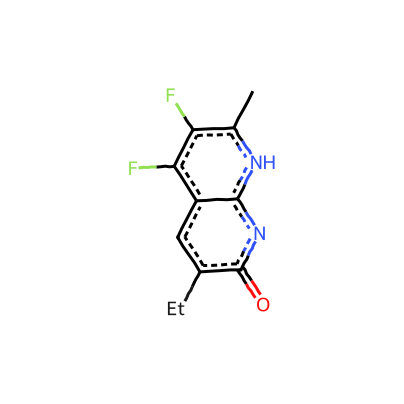 CCc1cc2c(F)c(F)c(C)[nH]c-2nc1=O